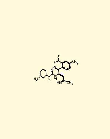 CC(=N)/C=C1\NC(NC2CCCN(C)C2)=NN=C1c1ccc(C)cc1C(F)F